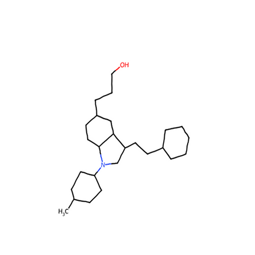 CC1CCC(N2CC(CCC3CCCCC3)C3CC(CCCO)CCC32)CC1